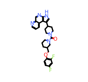 O=C(N1CCC(c2c[nH]c3ncc4ncccc4c23)CC1)N1CCCC(COc2ccc(F)cc2F)C1